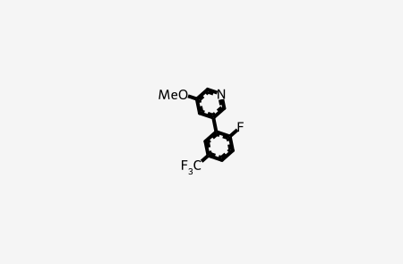 COc1cncc(-c2cc(C(F)(F)F)ccc2F)c1